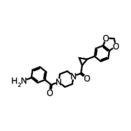 Nc1cccc(C(=O)N2CCN(C(=O)C3CC3c3ccc4c(c3)OCO4)CC2)c1